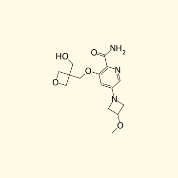 COC1CN(c2cnc(C(N)=O)c(OCC3(CO)COC3)c2)C1